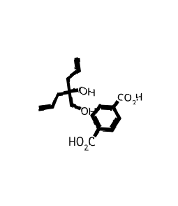 C=CCC(O)(CO)CC=C.O=C(O)c1ccc(C(=O)O)cc1